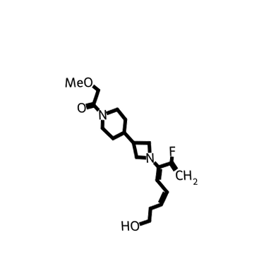 C=C(F)/C(=C\C=C/CCO)N1CC(C2CCN(C(=O)COC)CC2)C1